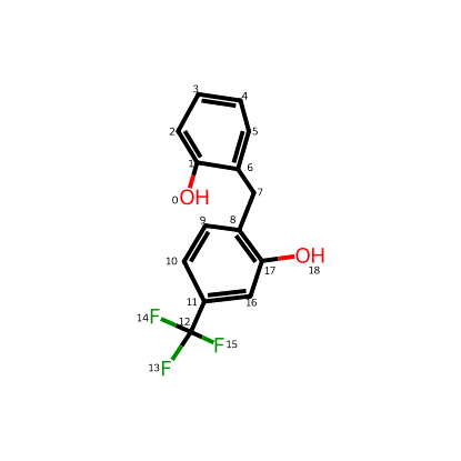 Oc1ccccc1Cc1ccc(C(F)(F)F)cc1O